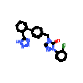 O=c1n(Cc2ccc(-c3ccccc3-c3nnn[nH]3)cc2)cnn1-c1ccccc1Cl